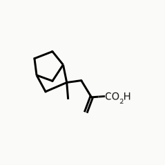 C=C(CC1(C)CC2CCC1C2)C(=O)O